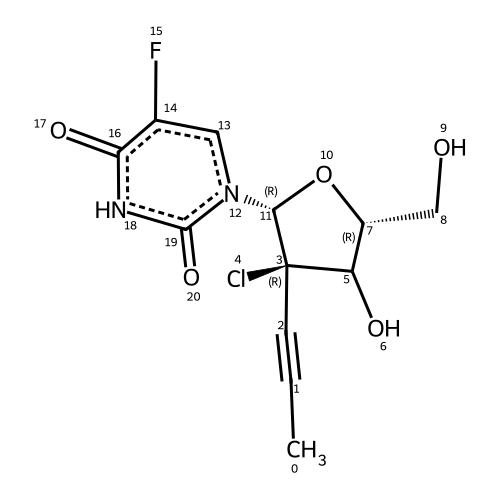 CC#C[C@@]1(Cl)C(O)[C@@H](CO)O[C@H]1n1cc(F)c(=O)[nH]c1=O